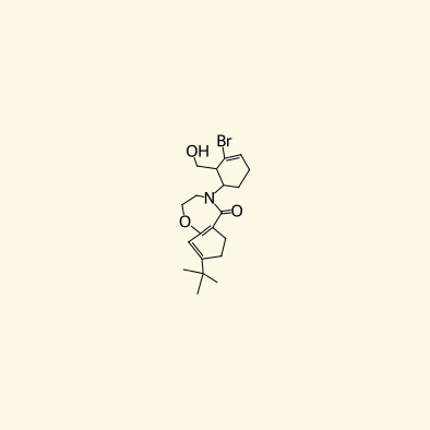 CC(C)(C)C1=CC2=C(CC1)C(=O)N(C1CCC=C(Br)C1CO)CCO2